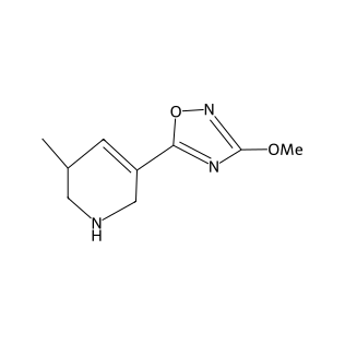 COc1noc(C2=CC(C)CNC2)n1